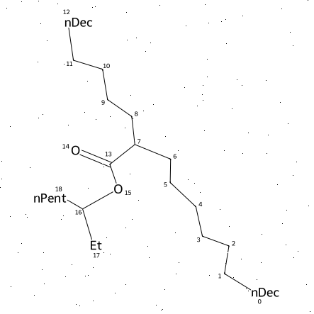 CCCCCCCCCCCCCCCCC(CCCCCCCCCCCCCC)C(=O)OC(CC)CCCCC